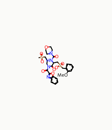 COc1ccccc1CS(=O)(=O)CC(NC(=O)N1CCOCC1)C(=O)N(CCCS(C)(=O)=O)C(=O)c1nc2ccccc2o1